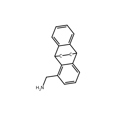 NCc1cccc2c1C1CCC2c2ccccc21